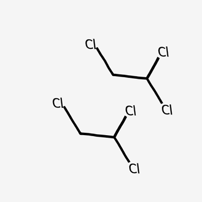 ClCC(Cl)Cl.ClCC(Cl)Cl